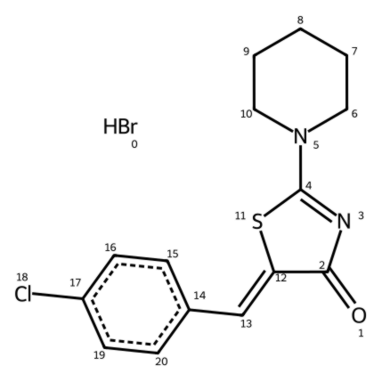 Br.O=C1N=C(N2CCCCC2)SC1=Cc1ccc(Cl)cc1